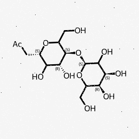 CC(=O)C[C@@H]1OC(CO)[C@@H](O[C@@H]2OC(CO)[C@H](O)[C@H](O)C2O)[C@H](O)C1O